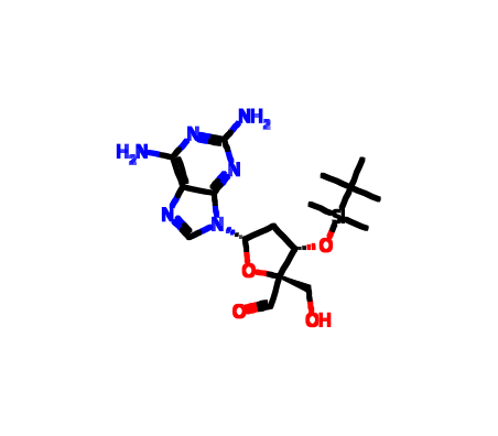 CC(C)(C)[Si](C)(C)O[C@H]1C[C@@H](n2cnc3c(N)nc(N)nc32)O[C@]1(C=O)CO